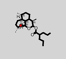 CCCC(CCC)C(=O)OC1O[C@@H]2O[C@]3(C)CC[C@H]4[C@H](C)CCC([C@H]1C)[C@@]24OO3